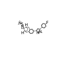 CN(C)SN1CC12[C@@H]1CC[C@H]2Cc2ccc(-c3cc(-c4ccc(F)cc4)n(C)n3)cc2C1